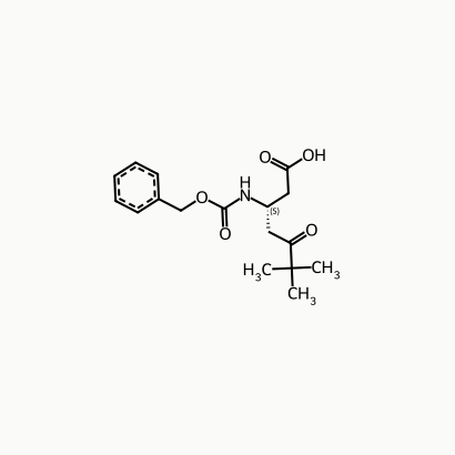 CC(C)(C)C(=O)C[C@@H](CC(=O)O)NC(=O)OCc1ccccc1